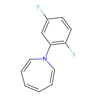 Fc1ccc(F)c(N2C=CC=CC=C2)c1